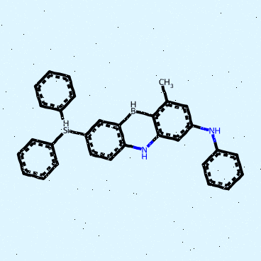 Cc1cc(Nc2ccccc2)cc2c1Bc1cc([SiH](c3ccccc3)c3ccccc3)ccc1N2